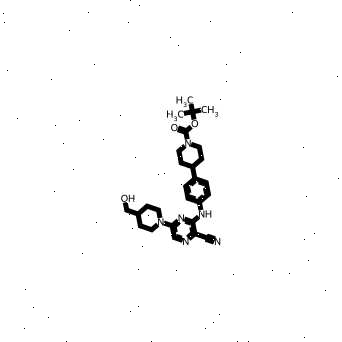 CC(C)(C)OC(=O)N1CCC(c2ccc(Nc3nc(N4CCC(CO)CC4)cnc3C#N)cc2)CC1